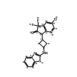 O=C1N(C2CC(Nc3nc4ccccc4s3)C2)c2ncc(Cl)cc2C1(F)F